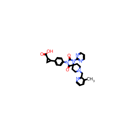 Cc1cccnc1CN1CCC2(CC1)C(=O)N(c1ccc(C3CC3C(=O)O)cc1)C(=O)N2c1ncccn1